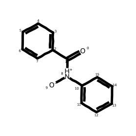 O=C(c1ccccc1)[NH+]([O-])c1ccccc1